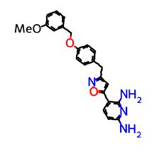 COc1cccc(COc2ccc(Cc3cc(-c4ccc(N)nc4N)on3)cc2)c1